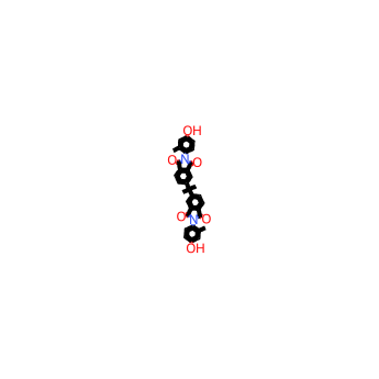 Cc1cc(O)ccc1N1C(=O)c2ccc(C(C)(C)c3ccc4c(c3)C(=O)N(c3ccc(O)cc3C)C4=O)cc2C1=O